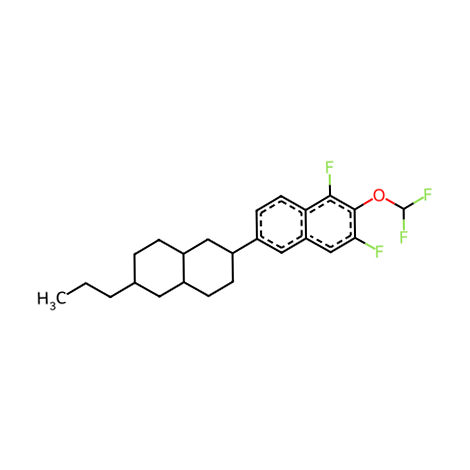 CCCC1CCC2CC(c3ccc4c(F)c(OC(F)F)c(F)cc4c3)CCC2C1